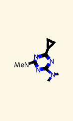 CNc1nc(C2CC2)nc(N(C)C)n1